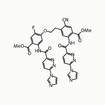 COC(=O)c1cc(F)c(OCCc2cc(NC(=O)c3ccc(-n4ccnc4)nn3)c(C(=O)OC)cc2C#N)cc1NC(=O)c1ccc(-n2ccnc2)nn1